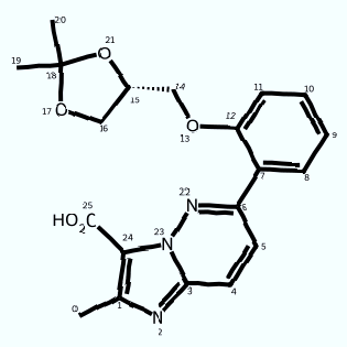 Cc1nc2ccc(-c3ccccc3OC[C@@H]3COC(C)(C)O3)nn2c1C(=O)O